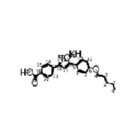 CCCCCOc1ccc(-c2cc(-c3ccc(C(=O)O)cc3)no2)cc1.[KH]